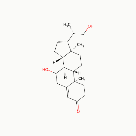 C[C@H](CO)[C@H]1CC[C@H]2[C@@H]3C(O)CC4=CC(=O)CC[C@]4(C)[C@H]3CC[C@]12C